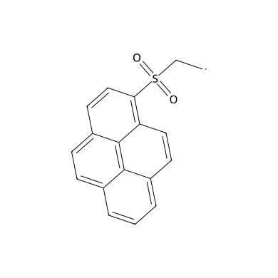 [CH2]CS(=O)(=O)c1ccc2ccc3cccc4ccc1c2c34